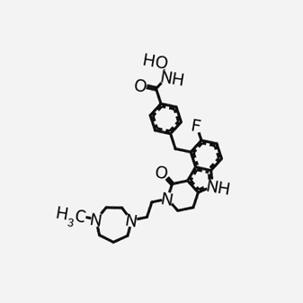 CN1CCCN(CCN2CCc3[nH]c4ccc(F)c(Cc5ccc(C(=O)NO)cc5)c4c3C2=O)CC1